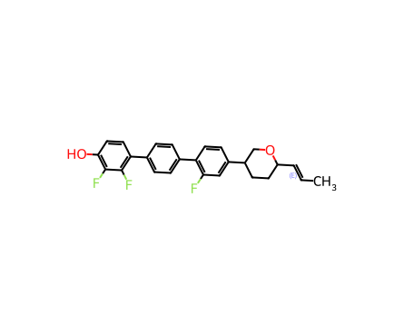 C/C=C/C1CCC(c2ccc(-c3ccc(-c4ccc(O)c(F)c4F)cc3)c(F)c2)CO1